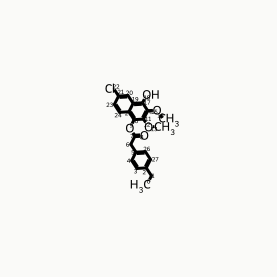 CCc1ccc(CC(=O)Oc2c(OC)c(OC)c(O)c3cc(Cl)ccc23)cc1